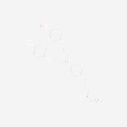 COC(=O)CCCc1ccc(N(CCOc2ccc(O)cc2)CCOc2ccc(O)cc2)cc1